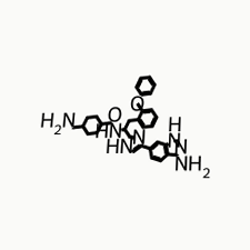 NCC1CCC(C(=O)NC(Cc2ccccc2Oc2ccccc2)c2nc(-c3ccc4c(N)n[nH]c4c3)c[nH]2)CC1